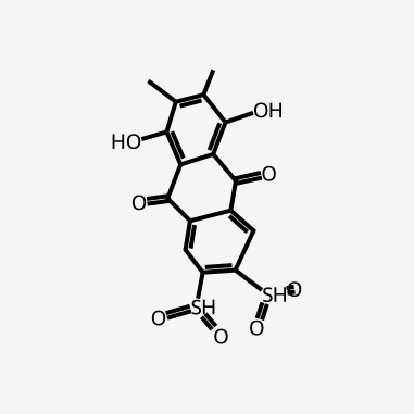 Cc1c(C)c(O)c2c(c1O)C(=O)c1cc([SH](=O)=O)c([SH](=O)=O)cc1C2=O